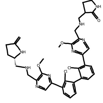 C=C1CC[C@@H](CNCc2ncc(-c3cccc(-c4cccc(-c5cnc(CNCC6CCNC6=O)c(OC)n5)c4Cl)c3Cl)nc2OC)N1